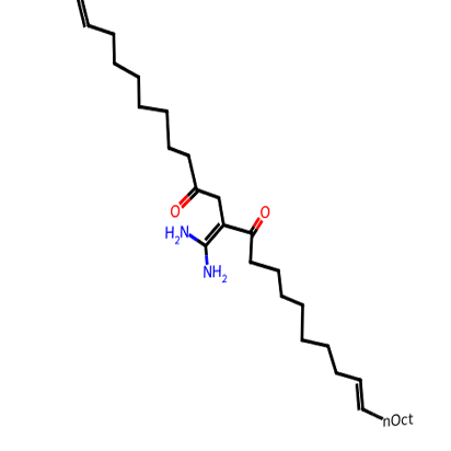 CCCCCCCCC=CCCCCCCCC(=O)CC(C(=O)CCCCCCCC=CCCCCCCCC)=C(N)N